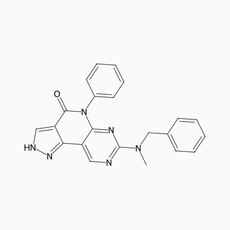 CN(Cc1ccccc1)c1ncc2c3n[nH]cc3c(=O)n(-c3ccccc3)c2n1